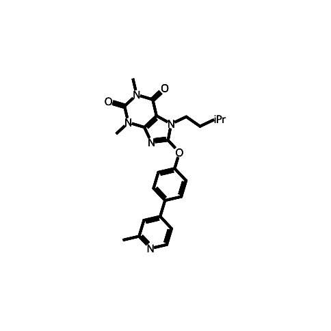 Cc1cc(-c2ccc(Oc3nc4c(c(=O)n(C)c(=O)n4C)n3CCC(C)C)cc2)ccn1